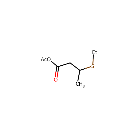 CCSC(C)CC(=O)OC(C)=O